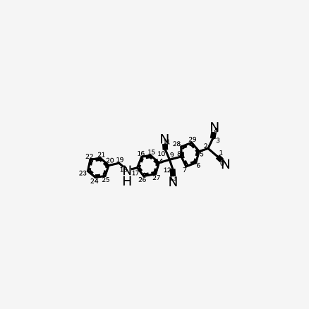 N#CC(C#N)c1ccc(C(C#N)(C#N)c2ccc(NCc3ccccc3)cc2)cc1